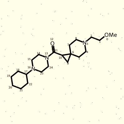 COCCN1CCC2(CC1)CC2C(=O)N1CCN(C2CCCCC2)CC1